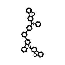 c1ccc(N(c2ccc(-c3cccc(-c4ccc5c(c4)c4ccccc4n5-c4ccc5c(c4)oc4ccccc45)c3)cc2)c2ccc3c(c2)oc2ccccc23)cc1